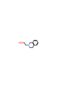 OCCN1CCc2ccc[c]c2C1